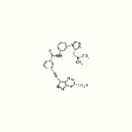 CN(C)Cc1nccn1-c1cccc(NC(=O)c2cccc(C#Cc3nnc4cc(C(=O)O)cnn34)c2)c1